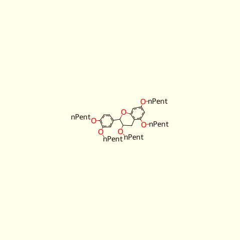 CCCCCOc1cc(OCCCCC)c2c(c1)OC(c1ccc(OCCCCC)c(OCCCCC)c1)C(OCCCCC)C2